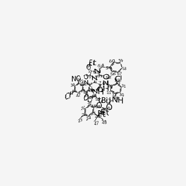 CCOC1C(=O)N(C(C(=O)Nc2cc(NCOC(CC)Oc3ccc(C)cc3C(C)(C)CC)ccc2Cl)c2nc3c([N+](=O)[O-])cc(Cl)cc3c(=O)n2NC(=O)C(C)(C)C)C(=O)N1Cc1ccccc1